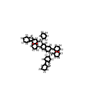 c1ccc(-c2cc3cc(N(c4ccccc4)c4ccc5c(c4)sc4ccccc45)c(-c4ccccc4)cc3cc2N(c2ccccc2)c2ccc3c(c2)sc2ccccc23)cc1